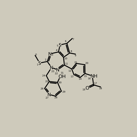 CSC1=Nc2sc(C)c(C)c2C(c2ccc(NC(C)=O)cc2)=NN1Cc1cnccc1O